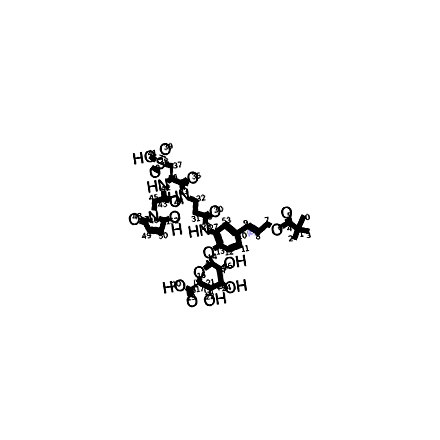 CC(C)(C)C(=O)OC/C=C/c1ccc(O[C@@H]2O[C@H](C(=O)O)[C@@H](O)[C@H](O)[C@H]2O)c(NC(=O)CCNC(=O)[C@H](CS(=O)(=O)O)NC(=O)CN2C(=O)C=CC2O)c1